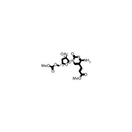 COC(=O)C=Cc1cn([C@@H]2O[C@H](COC(=O)OC)C[C@H]2OC(C)=O)c(=O)nc1N